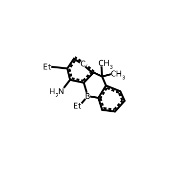 CCB1c2ccccc2C(C)(C)c2ccc(CC)c(N)c21